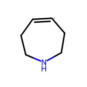 [C]1=CCCNCC1